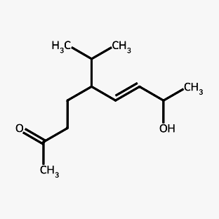 CC(=O)CCC(C=CC(C)O)C(C)C